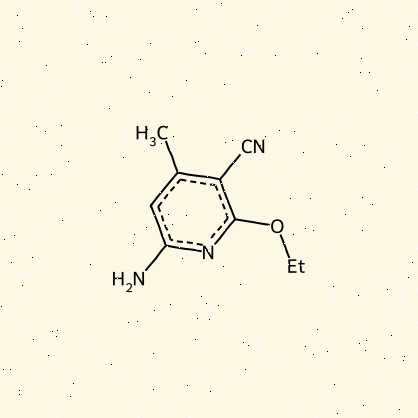 CCOc1nc(N)cc(C)c1C#N